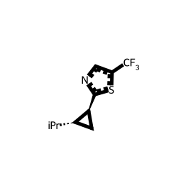 CC(C)[C@H]1C[C@@H]1c1ncc(C(F)(F)F)s1